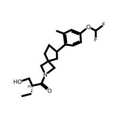 CC[C@H](CO)C(=O)N1CC2(CCC(c3ccc(OC(F)F)cc3C)C2)C1